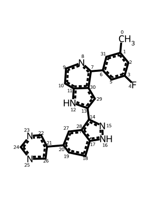 Cc1cc(F)cc(-c2nccc3[nH]c(-c4n[nH]c5ccc(-c6cncnc6)cc45)cc23)c1